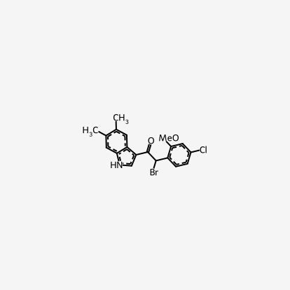 COc1cc(Cl)ccc1C(Br)C(=O)c1c[nH]c2cc(C)c(C)cc12